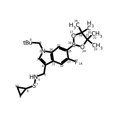 CC(C)(C)Cn1cc(CNSC2CC2)c2cc(F)c(B3OC(C)(C)C(C)(C)O3)cc21